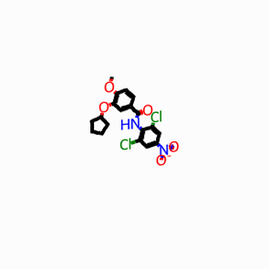 COc1ccc(C(=O)Nc2c(Cl)cc([N+](=O)[O-])cc2Cl)cc1OC1CCCC1